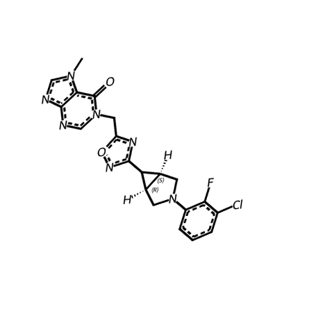 Cn1cnc2ncn(Cc3nc(C4[C@H]5CN(c6cccc(Cl)c6F)C[C@@H]45)no3)c(=O)c21